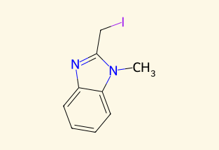 Cn1c(CI)nc2ccccc21